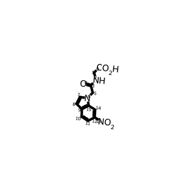 O=C(O)CNC(=O)Cn1ccc2ccc([N+](=O)[O-])cc21